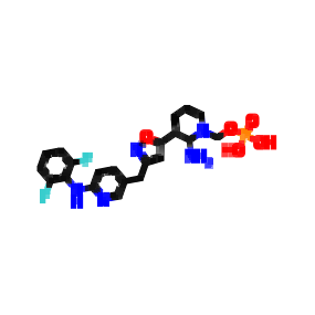 NC1C(c2cc(Cc3ccc(Nc4c(F)cccc4F)nc3)no2)=CC=CN1COP(=O)(O)O